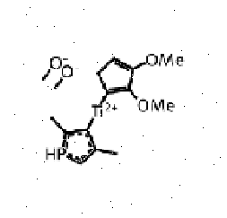 COC1=CC[C]([Ti+2][c]2c(C)c[pH]c2C)=C1OC.C[O-].C[O-]